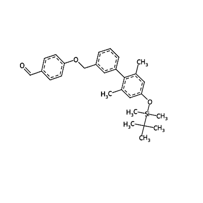 Cc1cc(O[Si](C)(C)C(C)(C)C)cc(C)c1-c1cccc(COc2ccc(C=O)cc2)c1